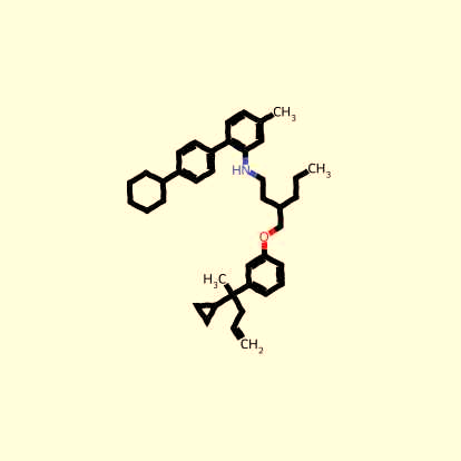 C=CCC(C)(c1cccc(OCC(CCC)CCNc2cc(C)ccc2-c2ccc(C3CCCCC3)cc2)c1)C1CC1